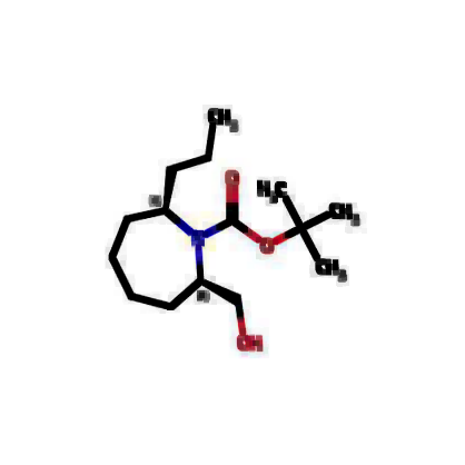 CCC[C@@H]1CCCC[C@H](CO)N1C(=O)OC(C)(C)C